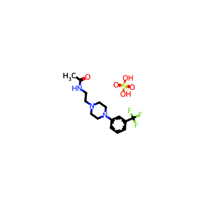 CC(=O)NCCN1CCN(c2cccc(C(F)(F)F)c2)CC1.O=S(=O)(O)O